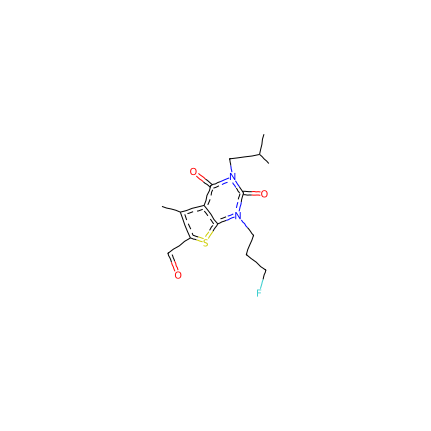 Cc1c(C=O)sc2c1c(=O)n(CC(C)C)c(=O)n2CCCF